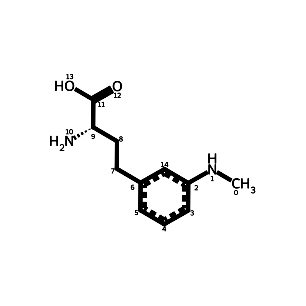 CNc1cccc(CC[C@H](N)C(=O)O)c1